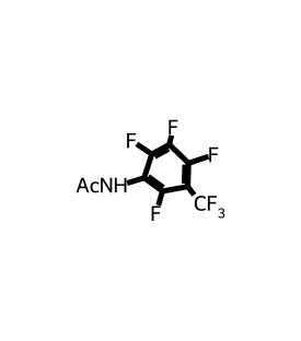 CC(=O)Nc1c(F)c(F)c(F)c(C(F)(F)F)c1F